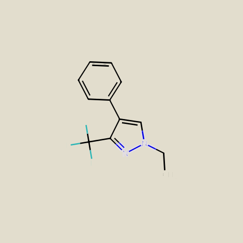 CCn1cc(-c2ccccc2)c(C(F)(F)F)n1